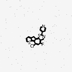 FC1=C2CN=C(c3ccncc3)SC2=C2CC3=CC=CSC3=C2C(Cl)=C1